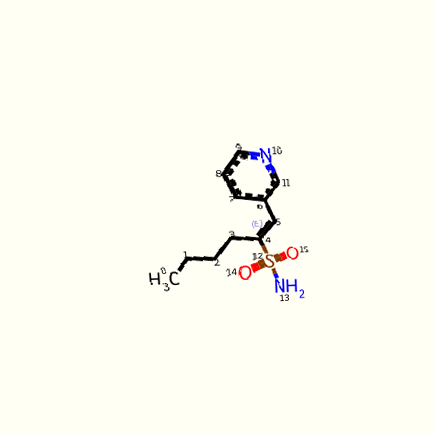 CCCC/C(=C\c1cccnc1)S(N)(=O)=O